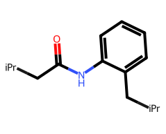 CC(C)CC(=O)Nc1ccccc1CC(C)C